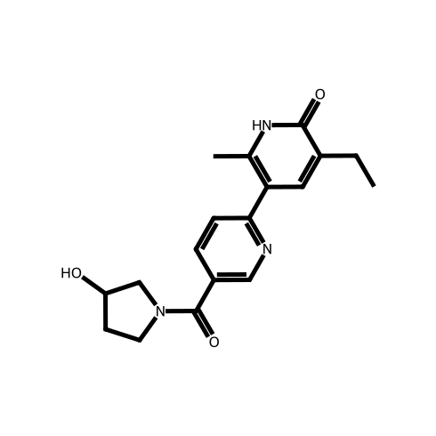 CCc1cc(-c2ccc(C(=O)N3CCC(O)C3)cn2)c(C)[nH]c1=O